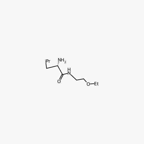 CCOCCNC(=O)[C@@H](N)CC(C)C